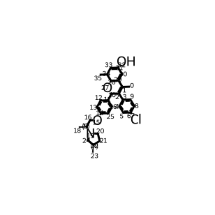 CC1=C(c2ccc(Cl)cc2)C(c2ccc(OC[C@H](C)N3CC[C@@H](C)C3)cc2)OC2C1=CC(O)=CC2C